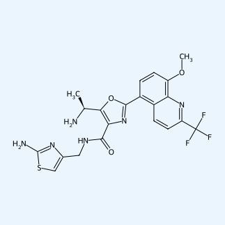 COc1ccc(-c2nc(C(=O)NCc3csc(N)n3)c([C@H](C)N)o2)c2ccc(C(F)(F)F)nc12